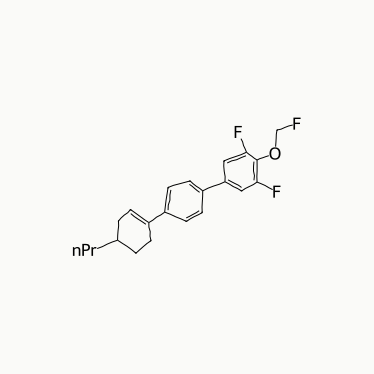 CCCC1CC=C(c2ccc(-c3cc(F)c(OCF)c(F)c3)cc2)CC1